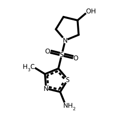 Cc1nc(N)sc1S(=O)(=O)N1CCC(O)C1